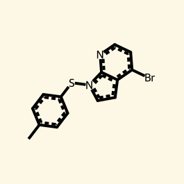 Cc1ccc(Sn2ccc3c(Br)ccnc32)cc1